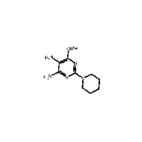 COc1nc(N2CCCCC2)nc(N)c1N